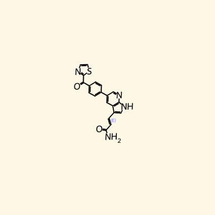 NC(=O)/C=C/c1c[nH]c2ncc(-c3ccc(C(=O)c4nccs4)cc3)cc12